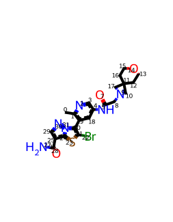 Cc1ncc(NC(=O)CN2CC3(CCOCC3)C2)cc1-c1c(Br)sc2c(C(N)=O)cnn12